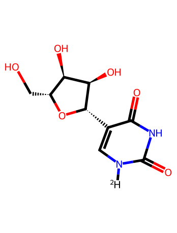 [2H]n1cc([C@@H]2O[C@H](CO)[C@@H](O)[C@H]2O)c(=O)[nH]c1=O